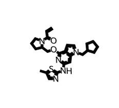 C=CC(=O)N1CCCC1COc1nc(Nc2ncc(C)s2)cc2c1ccn2CC1CCCC1